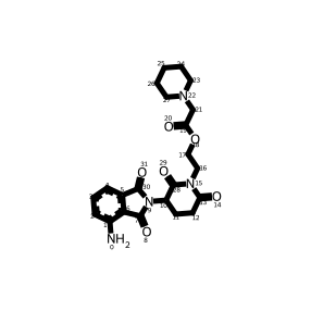 Nc1cccc2c1C(=O)N(C1CCC(=O)N(CCOC(=O)CN3CCCCC3)C1=O)C2=O